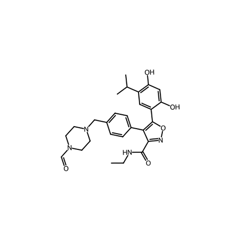 CCNC(=O)c1noc(-c2cc(C(C)C)c(O)cc2O)c1-c1ccc(CN2CCN(C=O)CC2)cc1